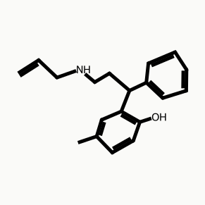 C=CCNCCC(c1ccccc1)c1cc(C)ccc1O